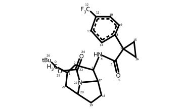 CC1CC(NC(=O)C2(c3ccc(C(F)(F)F)cc3)CC2)C2CCC(C1)N2C(=O)OC(C)(C)C